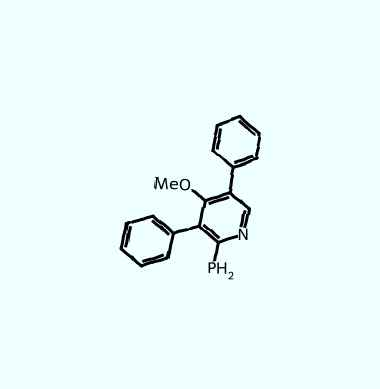 COc1c(-c2ccccc2)cnc(P)c1-c1ccccc1